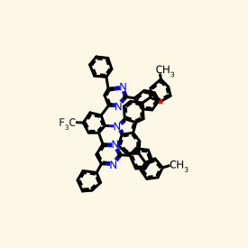 Cc1cccc(-c2ccc3c(c2)c2cc(-c4cccc(C)c4)ccc2n3-c2c(-c3cc(-c4ccccc4)nc(-c4ccccc4)n3)cc(C(F)(F)F)cc2-c2cc(-c3ccccc3)nc(-c3ccccc3)n2)c1